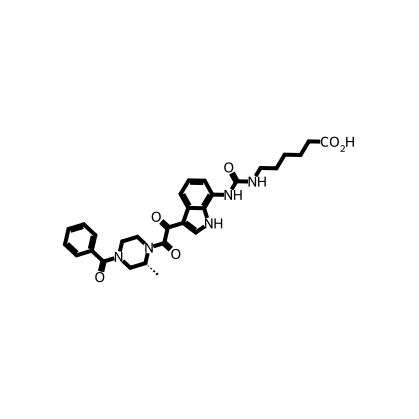 C[C@@H]1CN(C(=O)c2ccccc2)CCN1C(=O)C(=O)c1c[nH]c2c(NC(=O)NCCCCCC(=O)O)cccc12